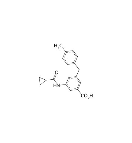 Cc1ccc(Cc2cc(NC(=O)C3CC3)cc(C(=O)O)c2)cc1